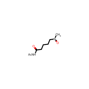 CC(=O)NC(=O)CCCC[Si](C)=O